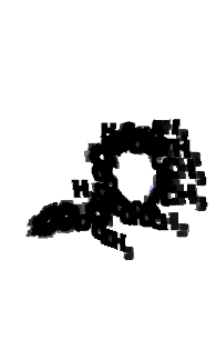 CCC1/C=C(\C)C(F)C(C)CC(OC)C2OC(O)(C(=O)C(=O)N3CCCCC3C(=O)OC(C(C)=CC3CCC(Oc4ccc5ccccc5c4)C(OC)C3)C(C)C(O)CC1=O)C(C)CC2OC